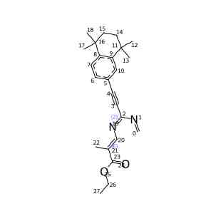 C=N/C(C#Cc1ccc2c(c1)C(C)(C)CCC2(C)C)=N\C=C(/C)C(=O)OCC